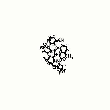 Cc1ccccc1[C@H](C(=O)NC1CC(F)(F)C1)N(C(=O)[C@@H]1CCS(=O)(=O)N1c1cc(C#N)ccn1)c1cc(F)cc(C#N)c1